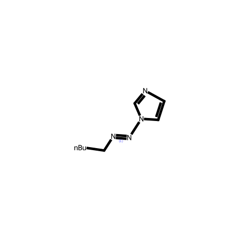 CCCCC/N=N/n1ccnc1